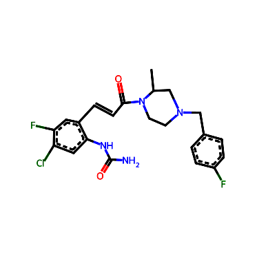 CC1CN(Cc2ccc(F)cc2)CCN1C(=O)C=Cc1cc(F)c(Cl)cc1NC(N)=O